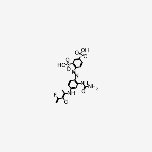 C=C(F)/C(Cl)=C(\C)Nc1ccc(/N=N/c2ccc(S(=O)(=O)O)cc2S(=O)(=O)O)c(NC(N)=O)c1